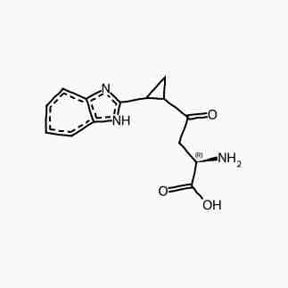 N[C@H](CC(=O)C1CC1c1nc2ccccc2[nH]1)C(=O)O